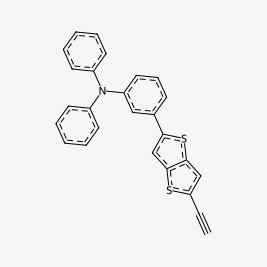 C#Cc1cc2sc(-c3cccc(N(c4ccccc4)c4ccccc4)c3)cc2s1